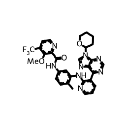 COc1c(C(F)(F)F)ccnc1C(=O)Nc1ccc(C)c(Nc2ncccc2-c2ncnc3c2ncn3C2CCCCO2)c1